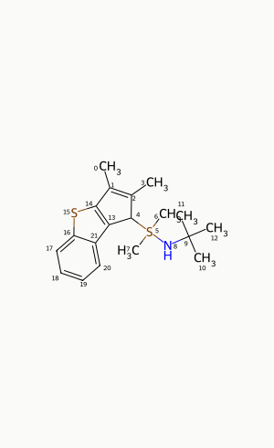 CC1=C(C)C(S(C)(C)NC(C)(C)C)c2c1sc1ccccc21